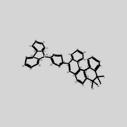 CC1(C)c2ccccc2-c2c(ccc3cc(-c4ccc(-n5c6ccccc6c6ccccc65)cc4)c4ccccc4c23)C1(C)C